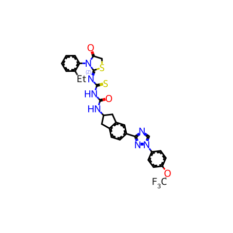 CCc1ccccc1N1C(=O)CS/C1=N\C(=S)NC(=O)NC1Cc2ccc(-c3ncn(-c4ccc(OC(F)(F)F)cc4)n3)cc2C1